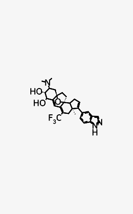 CN(C)[C@H]1C[C@@]23CC[C@@]4(O2)C(=C(C(F)(F)F)C[C@]2(C)C(c5ccc6[nH]ncc6c5)=CCC24)C=C3[C@@H](O)[C@@H]1O